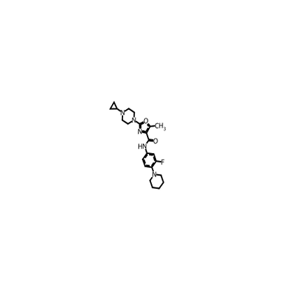 Cc1oc(N2CCN(C3CC3)CC2)nc1C(=O)Nc1ccc(N2CCCCC2)c(F)c1